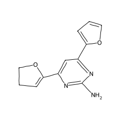 Nc1nc(C2=CCCO2)cc(-c2ccco2)n1